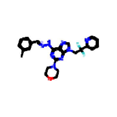 Cc1cccc(/C=N/Nc2nc(N3CCOCC3)nc3c2ncn3CC(F)(F)c2ccccn2)c1